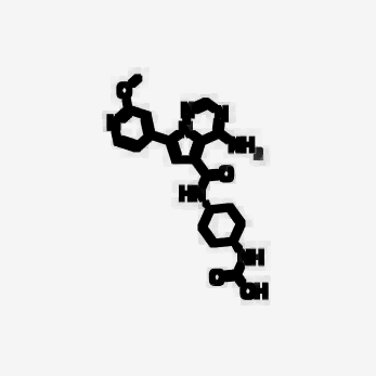 COc1cc(-c2cc(C(=O)N[C@H]3CC[C@H](NC(=O)O)CC3)c3c(N)ncnn23)ccn1